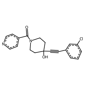 O=C(c1ccncc1)N1CCC(O)(C#Cc2cccc(Cl)c2)CC1